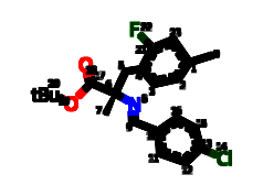 Cc1ccc(C[C@](C)(/N=C/c2ccc(Cl)cc2)C(=O)OC(C)(C)C)c(F)c1